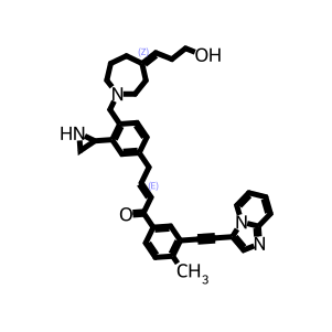 Cc1ccc(C(=O)/C=C/Cc2ccc(CN3CCC/C(=C/CCO)CC3)c(C3CN3)c2)cc1C#Cc1cnc2ccccn12